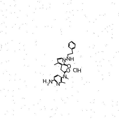 Cc1ccn(NCCc2ccccc2)c(=O)c1CC(=O)N(C)c1ccc(N)nc1C.Cl